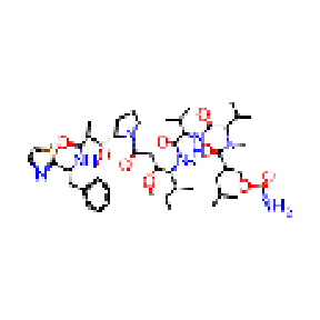 CCC(C)C(C(CC(=O)N1CCC[C@H]1C(OC)C(C)C(=O)NC(Cc1ccccc1)c1nccs1)OC)N(C)C(=O)C(NC(=O)C(C(C)C)N(C)C(=O)C(COC(N)=O)CC(C)C)C(C)C